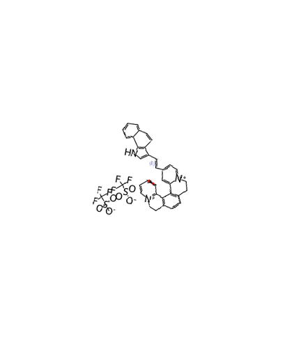 C(=C\c1c[nH]c2c1ccc1ccccc12)/c1cc[n+]2c(c1)-c1c(ccc3c1-c1c4ccccc4cc[n+]1CC3)CC2.O=S(=O)([O-])C(F)(F)F.O=S(=O)([O-])C(F)(F)F